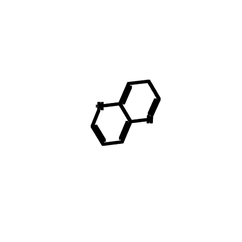 C1=C[N]C2=CCC=NC2=C1